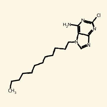 CCCCCCCCCCCCn1cnc2nc(Cl)nc(N)c21